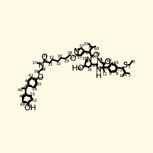 CCSC(=C(C)C)c1ccc(C2(C)NC(C3CC(O)CN3C(=O)C(C3=CC(OCCCCCCC(=O)N(C)CCOc4ccc(C(C)c5ccc(O)cc5)cc4)=NC3)C(C)C)=NC2=O)cc1